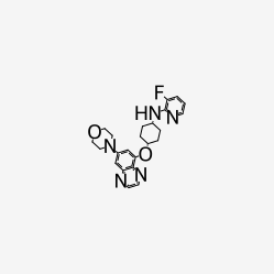 Fc1cccnc1N[C@H]1CC[C@@H](Oc2cc(N3CCOCC3)cc3nccnc23)CC1